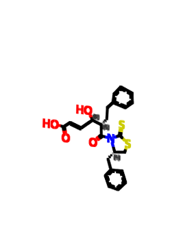 O=C(O)C=C[C@@H](O)[C@H](CCc1ccccc1)C(=O)N1C(=S)SC[C@@H]1Cc1ccccc1